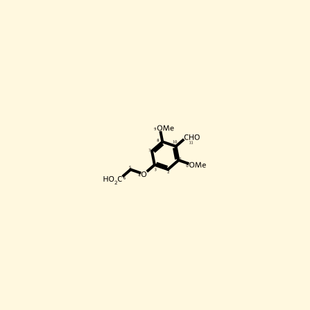 COc1cc(OCC(=O)O)cc(OC)c1C=O